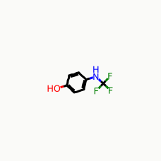 Oc1ccc(NC(F)(F)F)cc1